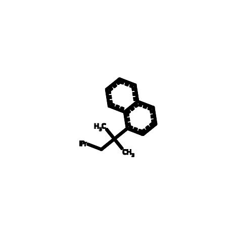 CC(C)CC(C)(C)c1cccc2ccccc12